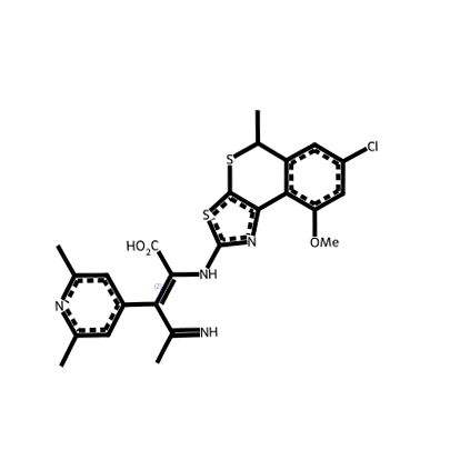 COc1cc(Cl)cc2c1-c1nc(N/C(C(=O)O)=C(\C(C)=N)c3cc(C)nc(C)c3)sc1SC2C